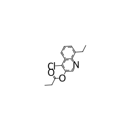 CCC(=O)Oc1cnc2c(CC)cccc2c1Cl